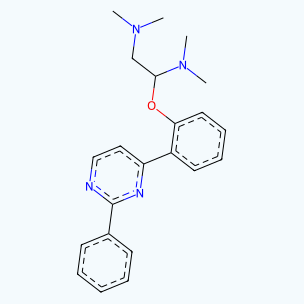 CN(C)CC(Oc1ccccc1-c1ccnc(-c2ccccc2)n1)N(C)C